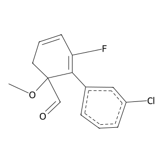 COC1(C=O)CC=CC(F)=C1c1cccc(Cl)c1